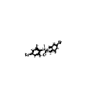 O=C(Nc1c(F)cc(Br)cc1F)n1cc2ccc(Br)cc2c1